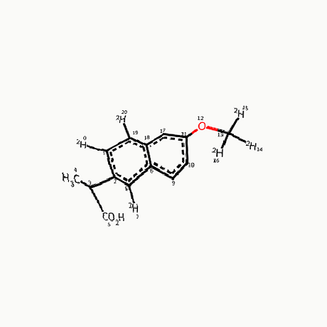 [2H]c1c(C(C)C(=O)O)c([2H])c2ccc(OC([2H])([2H])[2H])cc2c1[2H]